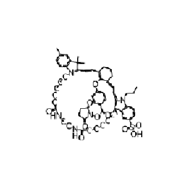 CCCN1/C2=C\C=C3/CCCC(=C3Oc3ccc(C(=O)ON4C(=O)CCC4=O)cc3)/C=C/C3=[N+](CCCCCC(=O)NCCNC(=O)CCCCCC2(C)c2cc(S(=O)(=O)O)ccc21)c1ccc(C)cc1C3(C)C